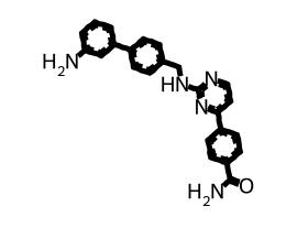 NC(=O)c1ccc(-c2ccnc(NCc3ccc(-c4cccc(N)c4)cc3)n2)cc1